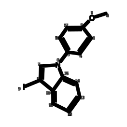 COc1ccc(-n2cc(I)c3ccccc32)cc1